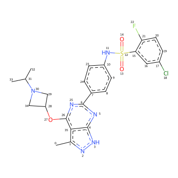 Cc1n[nH]c2nc(-c3ccc(NS(=O)(=O)c4cc(Cl)ccc4F)cc3)nc(OC3CN(C(C)C)C3)c12